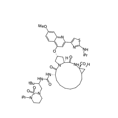 COc1ccc2c(O[C@@H]3C[C@H]4C(=O)N[C@]5(C(=O)O)CC5CCCCCCC[C@H](NC(=O)NC(CN5CCCN(C(C)C)S5(=O)=O)C(C)(C)C)C(=O)N4C3)cc(-c3csc(NC(C)C)n3)nc2c1